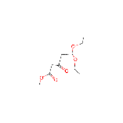 CCOC(CC(=O)CC(=O)OC)OCC